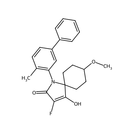 COC1CCC2(CC1)C(O)=C(F)C(=O)N2c1cc(-c2ccccc2)ccc1C